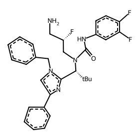 CC(C)(C)[C@H](c1nc(-c2ccccc2)cn1Cc1ccccc1)N(C[C@@H](F)CN)C(=O)Nc1ccc(F)c(F)c1